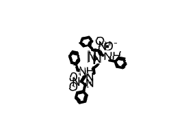 O=[N+]([O-])c1c(-c2ccccc2)nn(CCCn2nc(-c3ccccc3)c([N+](=O)[O-])c2NCc2ccccc2)c1NCc1ccccc1